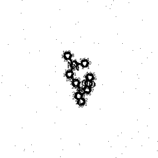 c1ccc(-c2cc(-c3ccccc3)nc(-c3cccc(-c4ccc(-n5c6ccc7ccccc7c6c6ccc7c(c65)Oc5ccccc5O7)cc4)c3)n2)cc1